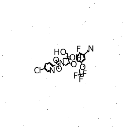 N#Cc1cc(OCC(F)(F)F)c(O[C@H]2CN(S(=O)(=O)c3ccc(Cl)cn3)C[C@]2(O)CO)cc1F